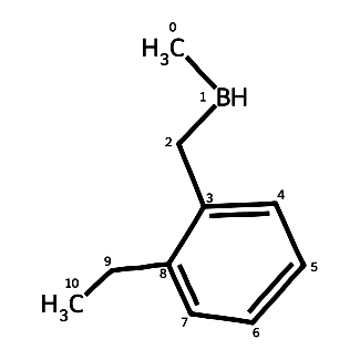 CBCc1ccccc1CC